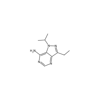 CCc1nn(C(C)C)c2c(N)ncnc12